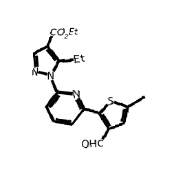 CCOC(=O)c1cnn(-c2cccc(-c3sc(C)cc3C=O)n2)c1CC